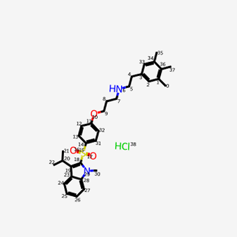 Cc1cc(CCNCCCOc2ccc(S(=O)(=O)c3c(C(C)C)c4ccccc4n3C)cc2)cc(C)c1C.Cl